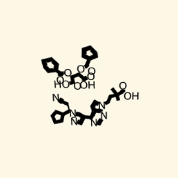 CC(C)(CCn1ccc2c(-c3cnn([C@H](CC#N)C4CCCC4)c3)ncnc21)C(=O)O.O=C(O[C@H](C(=O)O)[C@H](OC(=O)c1ccccc1)C(=O)O)c1ccccc1